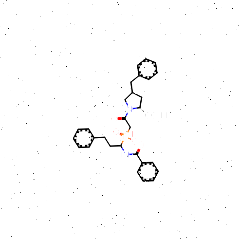 O=C(NC(CCc1ccccc1)P(=O)(O)CC(=O)N1CC(Cc2ccccc2)C[C@H]1C(=O)O)c1ccccc1